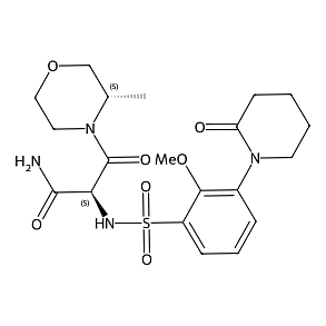 COc1c(N2CCCCC2=O)cccc1S(=O)(=O)N[C@@H](C(N)=O)C(=O)N1CCOC[C@@H]1C